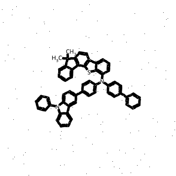 CC1(C)c2ccccc2-c2c1ccc1c2sc2c(N(c3ccc(-c4ccccc4)cc3)c3ccc(-c4ccc5c(c4)c4ccccc4n5-c4ccccc4)cc3)cccc21